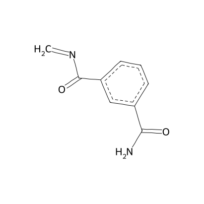 C=NC(=O)c1cccc(C(N)=O)c1